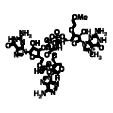 COCCOC1[C@@H](COP(=O)(O)OP(=O)(O)OP(=O)(O)OC[C@@]23CO[C@@H](C2OP(=O)(O)OC[C@H]2O[C@@H](n4cnc5c(=O)[nH]c(N)nc54)[C@@H](O)C2O)[C@H](n2cnc4c(N)ncnc42)O3)O[C@@H](n2c[n+](C)c3c(=O)[nH]c(N)nc32)[C@H]1O